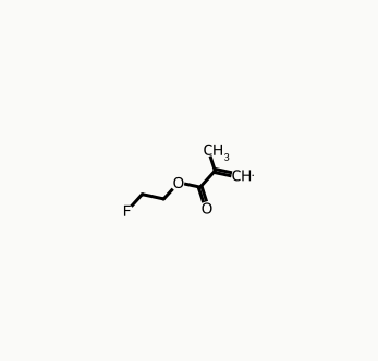 [CH]=C(C)C(=O)OCCF